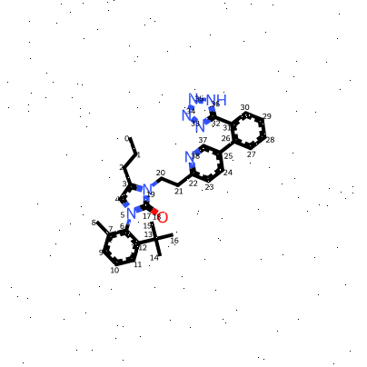 CCCc1cn(-c2c(C)cccc2C(C)(C)C)c(=O)n1CCc1ccc(-c2ccccc2-c2nnn[nH]2)cn1